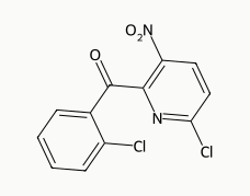 O=C(c1ccccc1Cl)c1nc(Cl)ccc1[N+](=O)[O-]